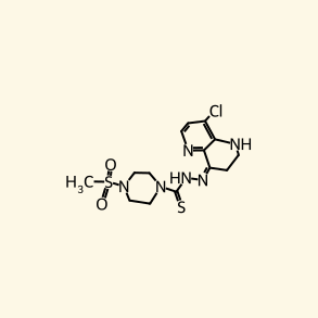 CS(=O)(=O)N1CCN(C(=S)N/N=C2/CCNc3c(Cl)ccnc32)CC1